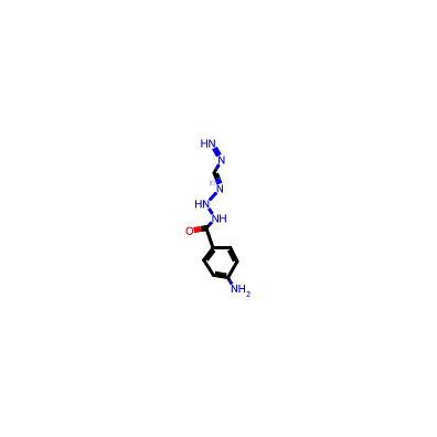 N=N/C=N/NNC(=O)c1ccc(N)cc1